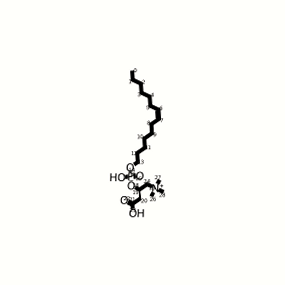 CCCCCC/C=C\CCCCCCOP(=O)(O)O[C@H](CC(=O)O)C[N+](C)(C)C